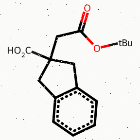 CC(C)(C)OC(=O)CC1(C(=O)O)Cc2ccccc2C1